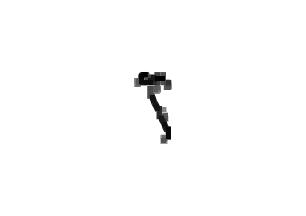 I[I-]I.[GaH3]